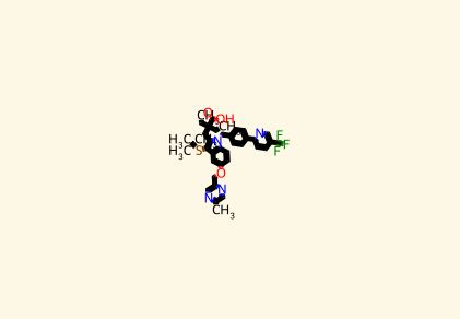 CCC(CC)(Cc1c(SC(C)(C)C)c2cc(OCc3cnc(C)cn3)ccc2n1Cc1ccc(-c2ccc(C(F)(F)F)cn2)cc1)C(=O)O